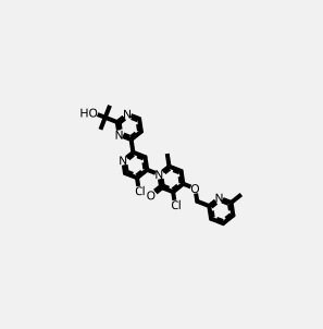 Cc1cccc(COc2cc(C)n(-c3cc(-c4ccnc(C(C)(C)O)n4)ncc3Cl)c(=O)c2Cl)n1